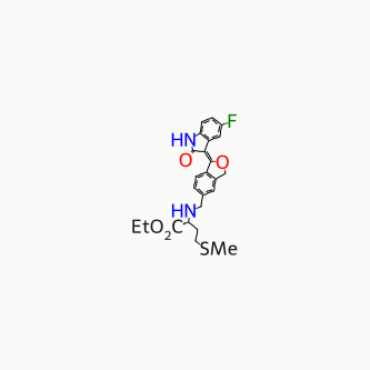 CCOC(=O)[C@H](CCSC)NCc1ccc2c(c1)COC2=C1C(=O)Nc2ccc(F)cc21